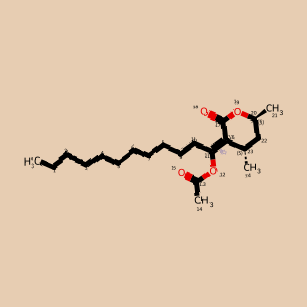 CCCCCCCCCCC/C(OC(C)=O)=C1\C(=O)O[C@@H](C)C[C@@H]1C